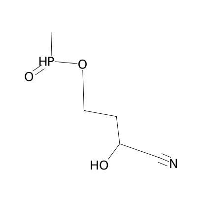 C[PH](=O)OCCC(O)C#N